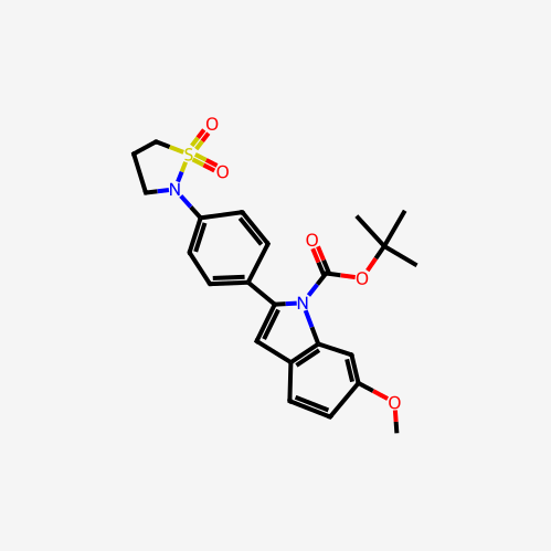 COc1ccc2cc(-c3ccc(N4CCCS4(=O)=O)cc3)n(C(=O)OC(C)(C)C)c2c1